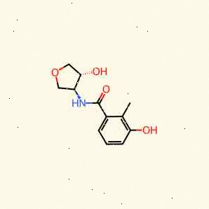 Cc1c(O)cccc1C(=O)N[C@H]1COC[C@@H]1O